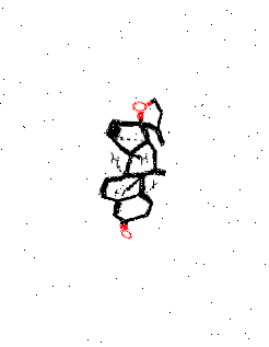 C=C1C[C@@]2(C)[C@@H](C=C[C@@]23OCCC3=C)[C@@H]2CCC3=CC(=O)CC[C@@H]3[C@@H]12